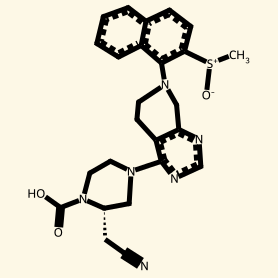 C[S+]([O-])c1ccc2ccccc2c1N1CCc2c(ncnc2N2CCN(C(=O)O)[C@@H](CC#N)C2)C1